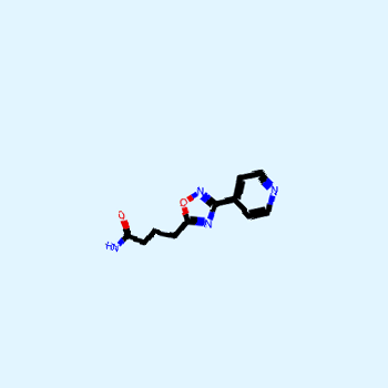 [NH]C(=O)CCCc1nc(-c2ccncc2)no1